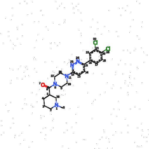 CN1CCCC(C(=O)N2CCN(c3ccc(-c4ccc(Cl)c(Cl)c4)nn3)CC2)C1